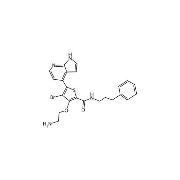 NCCOc1c(C(=O)NCCCc2ccccc2)sc(-c2ccnc3[nH]ccc23)c1Br